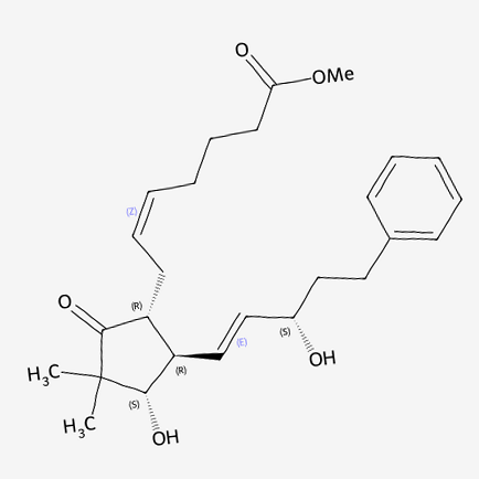 COC(=O)CCC/C=C\C[C@H]1C(=O)C(C)(C)[C@@H](O)[C@@H]1/C=C/[C@@H](O)CCc1ccccc1